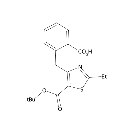 CCc1nc(Cc2ccccc2C(=O)O)c(C(=O)OC(C)(C)C)s1